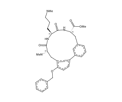 CNCCC[C@@H]1NC(=O)[C@@H](NC)Cc2cc(ccc2OCc2ccccc2)-c2cccc(c2)C[C@@H](C(=O)OC)NC1=O